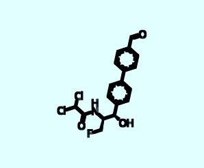 O=Cc1ccc(-c2ccc([C@@H](O)[C@@H](CF)NC(=O)C(Cl)Cl)cc2)cc1